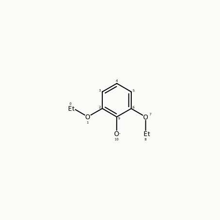 CCOc1cccc(OCC)c1[O]